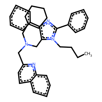 CCCCn1c(-c2ccccc2)nc(-c2ccccc2)c1CN(Cc1ccc2ccccc2n1)CC1CCCCC1